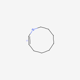 C1=C\[N]CCCCCCC/1